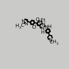 CCn1c2c(cc(-c3ccc(-c4ccnc(C)n4)cc3Cl)c1=O)CNC(Nc1ccc(C3CCN(C)CC3)cc1)=N2